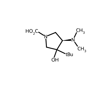 CN(C)[C@@H]1CN(C(=O)O)CC1(O)C(C)(C)C